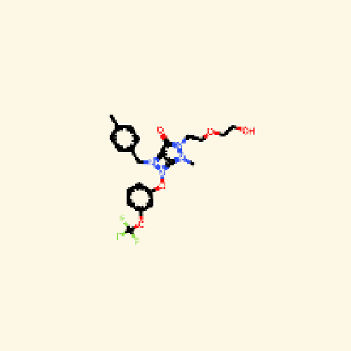 Cc1ccc(Cn2c3c(=O)n(CCOCCO)n(C)c3n2Oc2cccc(OC(F)(F)F)c2)cc1